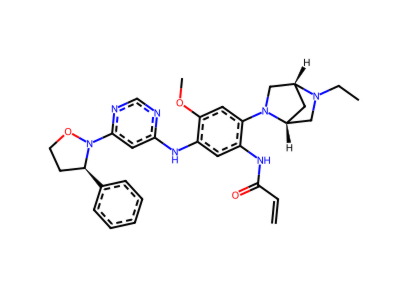 C=CC(=O)Nc1cc(Nc2cc(N3OCC[C@@H]3c3ccccc3)ncn2)c(OC)cc1N1C[C@H]2C[C@@H]1CN2CC